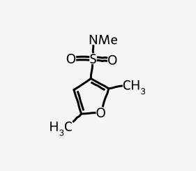 CNS(=O)(=O)c1cc(C)oc1C